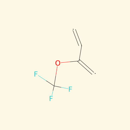 [CH]=CC(=[CH])OC(F)(F)F